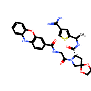 CC(NC(=O)[C@@H]1CC2(CN1C(=O)CNC(=O)c1ccc3c(c1)Oc1ccccc1N3)OCCO2)c1cc(C(=N)N)cs1